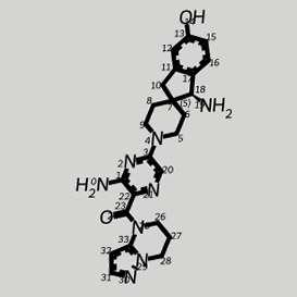 Nc1nc(N2CCC3(CC2)Cc2cc(O)ccc2[C@H]3N)cnc1C(=O)N1CCCn2nccc21